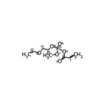 C=CC(=O)OP(=O)(OC)OCCOCC